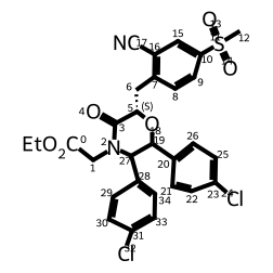 CCOC(=O)CN1C(=O)[C@H](Cc2ccc(S(C)(=O)=O)cc2C#N)OC(c2ccc(Cl)cc2)C1c1ccc(Cl)cc1